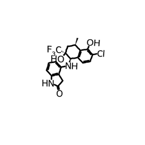 C[C@@H]1C[C@@](O)(C(F)(F)F)[C@H](Nc2cccc3c2CC(=O)N3)c2ccc(Cl)c(O)c21